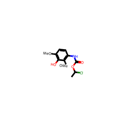 COc1ccc(NC(=O)OC(C)Cl)c(OC)c1O